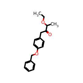 CCOC(C)C(=O)Cc1ccc(OCc2ccccc2)cc1